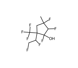 CC1(F)CC(C(F)CF)(C(F)(F)F)C(O)(F)C1F